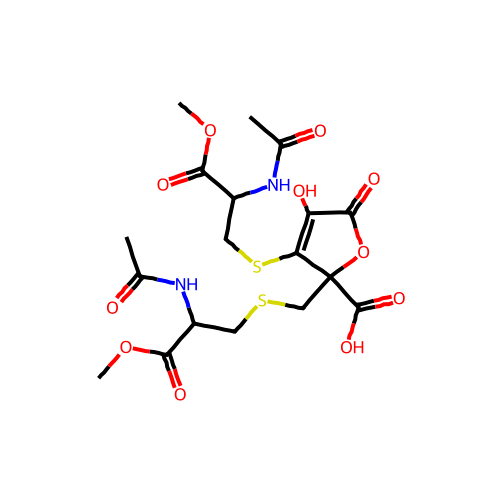 COC(=O)C(CSCC1(C(=O)O)OC(=O)C(O)=C1SCC(NC(C)=O)C(=O)OC)NC(C)=O